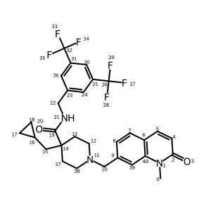 Cn1c(=O)ccc2ccc(CN3CCC(CC4CC4)(C(=O)NCc4cc(C(F)(F)F)cc(C(F)(F)F)c4)CC3)cc21